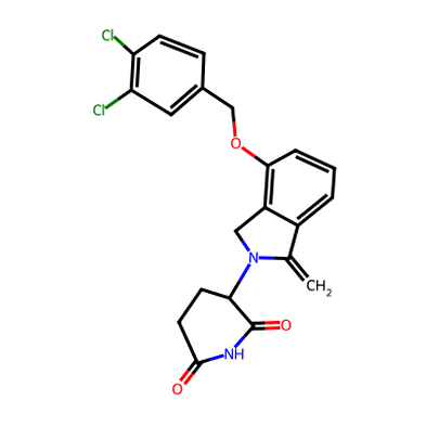 C=C1c2cccc(OCc3ccc(Cl)c(Cl)c3)c2CN1C1CCC(=O)NC1=O